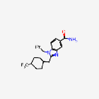 CC(C)Cn1c(CC2CCC(C(F)(F)F)CC2)nc2cc(C(N)=O)ccc21